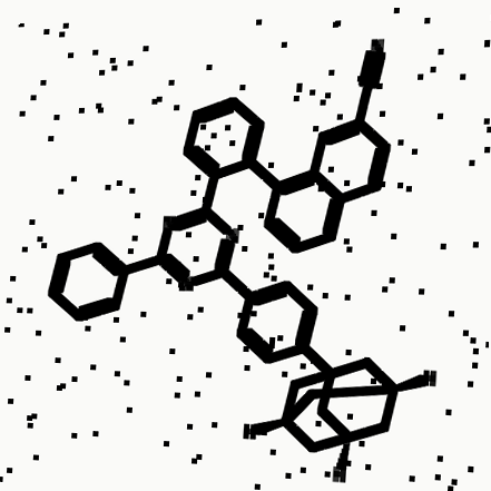 N#Cc1ccc2cccc(-c3ccccc3-c3nc(-c4ccccc4)nc(-c4ccc(C56C[C@H]7C[C@@H](C5)C[C@@H](C6)C7)cc4)n3)c2c1